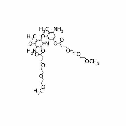 COCCOCCOCCC(=O)Oc1c2nc3c(OC(=O)CCOCCOCCOC)cc(N)c(C)c3oc-2c(C)c(=O)c1N